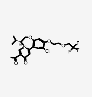 CC(=O)c1cn2c(cc1=O)-c1cc(Cl)c(OCCOCC(F)(F)F)cc1OC[C@H]2C(C)C